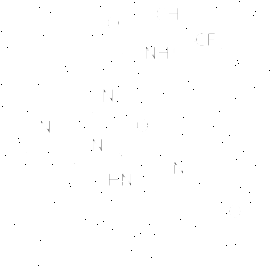 C[C@@H](NC(=O)c1ccc2c(n1)N(C(=O)Nc1cc3c(cn1)OCCC3)C1CCN2C1)C(F)(F)F